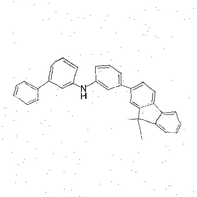 CC1(C)c2ccccc2-c2ccc(-c3cccc(Nc4cccc(-c5ccccc5)c4)c3)cc21